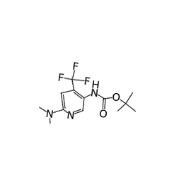 CN(C)c1cc(C(F)(F)F)c(NC(=O)OC(C)(C)C)cn1